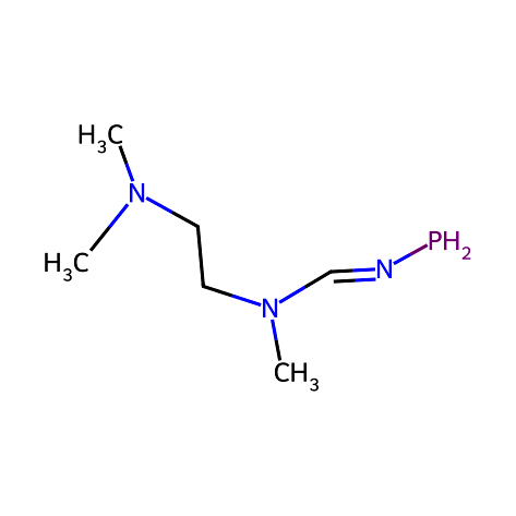 CN(C)CCN(C)C=NP